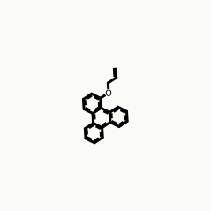 C=CCOc1cccc2c3ccccc3c3ccccc3c12